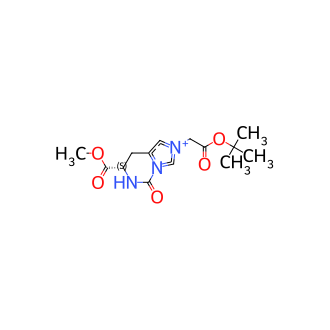 COC(=O)[C@@H]1Cc2c[n+](CC(=O)OC(C)(C)C)cn2C(=O)N1